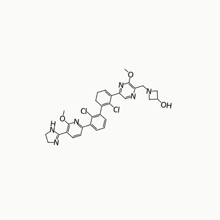 COc1nc(-c2cccc(C3=C(Cl)C(c4cnc(CN5CC(O)C5)c(OC)n4)=CCC3)c2Cl)ccc1C1=NCCN1